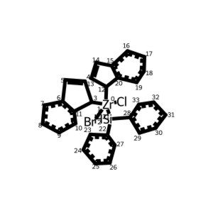 [Cl][Zr]([Br])([CH]1C=Cc2ccccc21)([CH]1C=Cc2ccccc21)[SiH](c1ccccc1)c1ccccc1